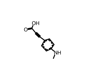 CNc1ccc(C#CC(=O)O)cc1